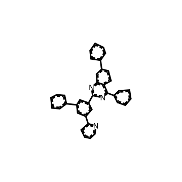 c1ccc(-c2cc(-c3ccccn3)cc(-c3nc(-c4ccccc4)c4ccc(-c5ccccc5)cc4n3)c2)cc1